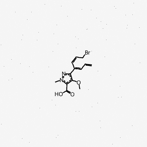 C=C/C=C(\C=C/CBr)c1nn(C)c(C(=O)O)c1OC